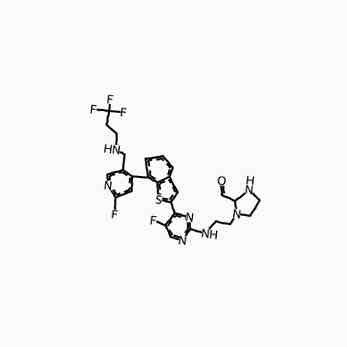 O=CC1NCCN1CCNc1ncc(F)c(-c2cc3cccc(-c4cc(F)ncc4CNCCC(F)(F)F)c3s2)n1